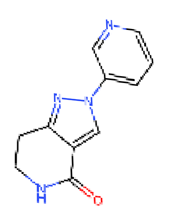 O=C1NCCc2nn(-c3cccnc3)cc21